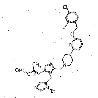 CCn1cncc1Cn1c(/C=C(\C)OC=O)cnc1CN1CCC(c2cccc(OCc3ccc(Cl)cc3F)n2)CC1